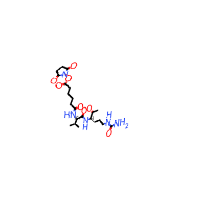 CC(=O)[C@H](CCCNC(N)=O)NC(=O)[C@@H](NC(=O)CCCCC(=O)ON1C(=O)CCC1=O)C(C)C